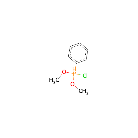 CO[PH](Cl)(OC)c1ccccc1